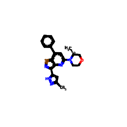 Cc1cc(-c2nsc3c(-c4ccccc4)cc(N4CCOC[C@H]4C)nc23)[nH]n1